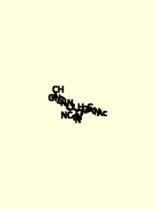 C#CC(=O)N1CCN(c2ccc(-c3cc(OCC4(C)CN(C(C)=O)C4)cn4ncc(C#N)c34)cn2)CC1